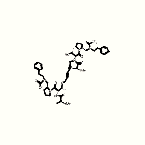 CN[C@@H](C)C(=O)N[C@H](C(=O)N1CCC[C@H]1CN(CCc1ccccc1)C(=O)C(F)(F)F)[C@@H](C)OCC#CC#CCN(C(=O)[C@H](C)NC)[C@H](C(=O)N1CCC[C@H]1CN(CCc1ccccc1)C(=O)C(F)(F)F)[C@@H](C)O